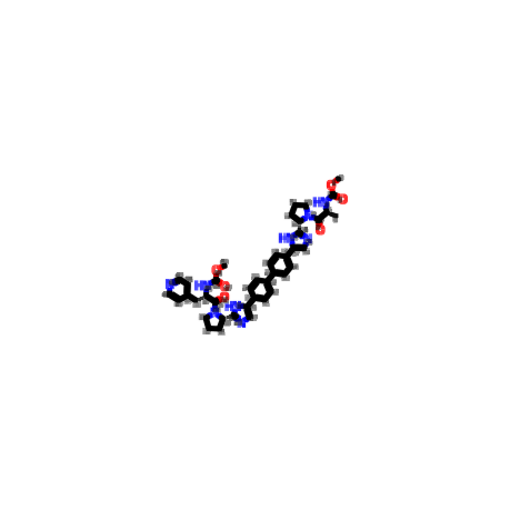 COC(=O)N[C@@H](C)C(=O)N1CCC[C@H]1c1ncc(-c2ccc(-c3ccc(-c4cnc([C@@H]5CCCN5C(=O)[C@H](Cc5ccncc5)NC(=O)OC)[nH]4)cc3)cc2)[nH]1